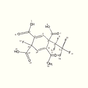 O=C(O)C1=CC(C(=O)O)(C(F)(F)C(F)(F)F)C(C(=O)O)=CC1(F)C(=O)O